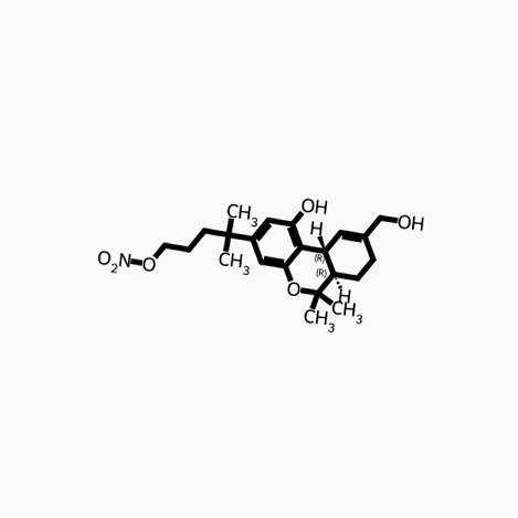 CC(C)(CCCO[N+](=O)[O-])c1cc(O)c2c(c1)OC(C)(C)[C@@H]1CCC(CO)=C[C@@H]21